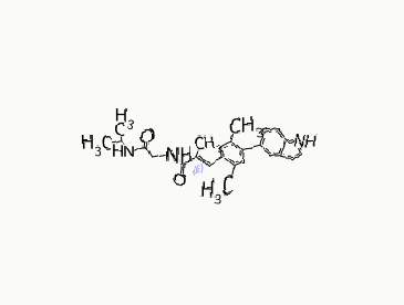 C/C(=C\c1cc(C)c(-c2ccc3[nH]ccc3c2)cc1C)C(=O)NCC(=O)NC(C)C